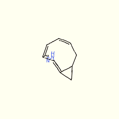 C1=C\CC2C/C2=c2/[nH]nc/c2=C/1